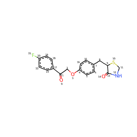 O=C(COc1ccc(CC2SCNC2=O)cc1)c1ccc(F)cc1